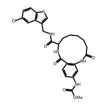 COC(=O)Nc1ccc2c(c1)NC(=O)CCCCCC(C(=O)NCc1csc3ccc(Cl)cc13)NC2=O